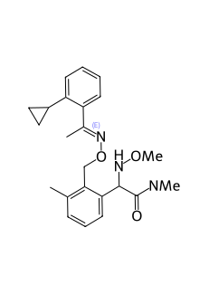 CNC(=O)C(NOC)c1cccc(C)c1CO/N=C(\C)c1ccccc1C1CC1